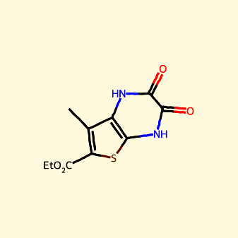 CCOC(=O)c1sc2[nH]c(=O)c(=O)[nH]c2c1C